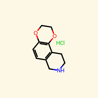 Cl.c1cc2c(c3c1CNCC3)OCCO2